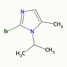 Cc1cnc(Br)n1C(C)C